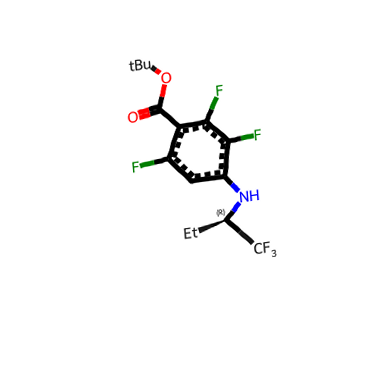 CC[C@@H](Nc1cc(F)c(C(=O)OC(C)(C)C)c(F)c1F)C(F)(F)F